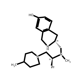 CC1CCN(C[C@H](C(C)C)N(C)C[C@H]2Cc3ccc(O)cc3CN2)CC1